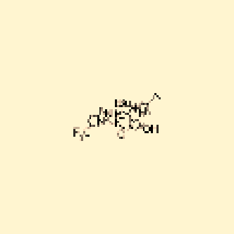 CC(C)(C)[C@@H](C(=O)N1C[C@H](O)C[C@H]1C(=O)NCc1nnc2ccc(C(F)(F)F)cn12)n1cc(C2CC2)nn1